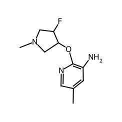 Cc1cnc(OC2CN(C)CC2F)c(N)c1